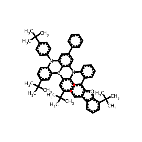 CC(C)(C)c1ccc(N2c3ccc(C(C)(C)C)cc3B3c4cc(C(C)(C)C)ccc4N(c4ccccc4-c4cccc5c4oc4c(C(C)(C)C)cccc45)c4cc(-c5ccccc5)cc2c43)cc1